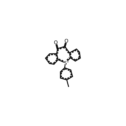 Cc1ccc(-[s+]2c3ccccc3c(=O)c(=O)c3ccccc32)cc1